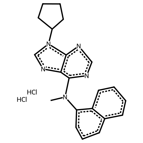 CN(c1cccc2ccccc12)c1ncnc2c1ncn2C1CCCC1.Cl.Cl